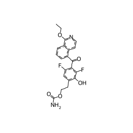 CCOc1nccc2c(C(=O)c3c(F)cc(CCOC(N)=O)c(O)c3F)cccc12